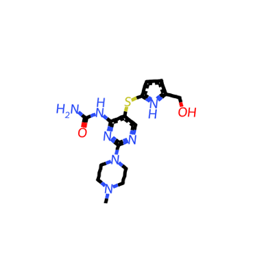 CN1CCN(c2ncc(Sc3ccc(CO)[nH]3)c(NC(N)=O)n2)CC1